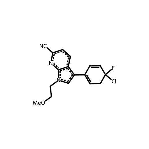 COCCn1cc(C2=CCC(F)(Cl)C=C2)c2ccc(C#N)nc21